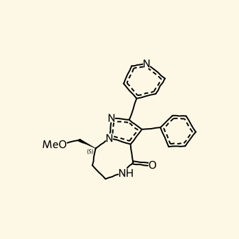 COC[C@@H]1CCNC(=O)c2c(-c3ccccc3)c(-c3ccncc3)nn21